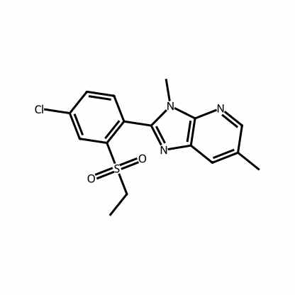 CCS(=O)(=O)c1cc(Cl)ccc1-c1nc2cc(C)cnc2n1C